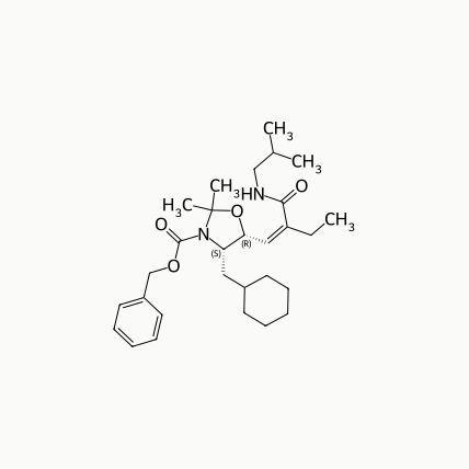 CCC(=C[C@H]1OC(C)(C)N(C(=O)OCc2ccccc2)[C@H]1CC1CCCCC1)C(=O)NCC(C)C